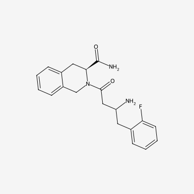 NC(=O)[C@@H]1Cc2ccccc2CN1C(=O)CC(N)Cc1ccccc1F